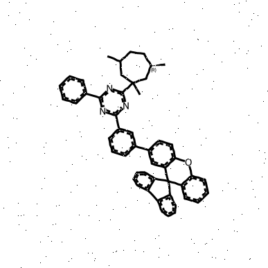 CC1CC[C@@H](C)CC(C)(c2nc(-c3ccccc3)nc(-c3cccc(-c4ccc5c(c4)C4(c6ccccc6O5)c5ccccc5-c5ccccc54)c3)n2)C1